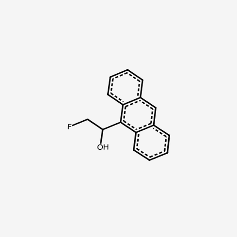 OC(CF)c1c2ccccc2cc2ccccc12